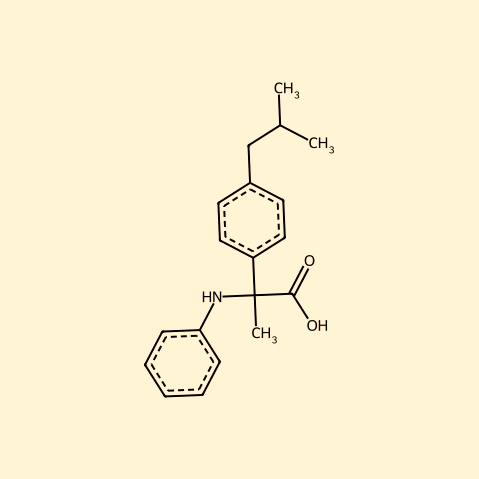 CC(C)Cc1ccc(C(C)(Nc2ccccc2)C(=O)O)cc1